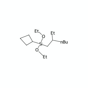 CCCCC(CC)C[Si](OCC)(OCC)C1CCC1